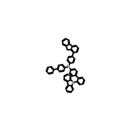 c1ccc(-c2ccc(N(c3ccc(-c4ccccc4-n4c5ccccc5c5ccccc54)cc3)c3ccc(-c4cccc5c4Cc4ccccc4-5)cc3)cc2)cc1